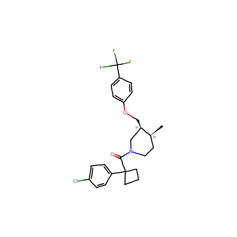 C[C@H]1CCN(C(=O)C2(c3ccc(Cl)cc3)CCC2)C[C@H]1COc1ccc(C(F)(F)F)cc1